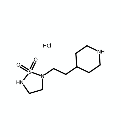 Cl.O=S1(=O)NCCN1CCC1CCNCC1